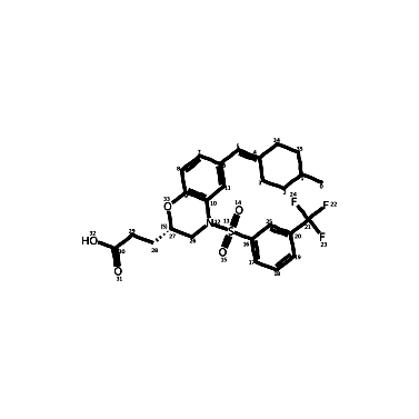 CC1CCC(=Cc2ccc3c(c2)N(S(=O)(=O)c2cccc(C(F)(F)F)c2)C[C@H](CCC(=O)O)O3)CC1